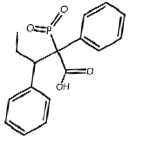 CCC(c1ccccc1)C(C(=O)O)(c1ccccc1)P(=O)=O